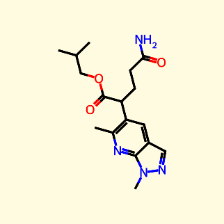 Cc1nc2c(cnn2C)cc1C(CCC(N)=O)C(=O)OCC(C)C